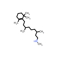 CNCCC(C)CCCC(C)CCC1=C(C)CCCC1(C)C